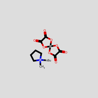 CCCC[N+]1(C)CCCC1.O=C1O[B-]2(OC1=O)OC(=O)C(=O)O2